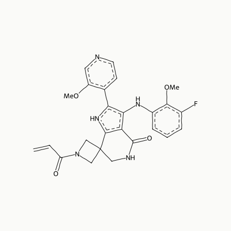 C=CC(=O)N1CC2(CNC(=O)c3c2[nH]c(-c2ccncc2OC)c3Nc2cccc(F)c2OC)C1